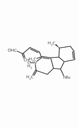 C=C(C=O)/C=C\CN(C)C(=C)CC1/C(=C\C)C2C(C=CC[C@@H]2C)C1CCCC